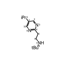 CC(C)c1cnc(CCNC(C)(C)C)nc1